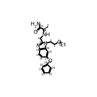 CCOCCn1c(CN[C@H](C)C(N)=O)nc2ccc(Oc3ccccc3)cc21